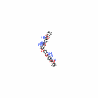 O=C(Nc1ccc(Oc2ccc(NC(=O)Nc3cccc(NC(=O)Oc4ccccc4)c3)cc2)cc1)Nc1cccc(NC(=O)Oc2ccccc2)c1